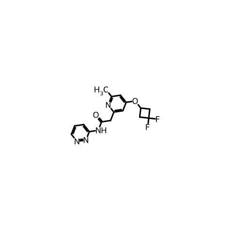 Cc1cc(OC2CC(F)(F)C2)cc(CC(=O)Nc2cccnn2)n1